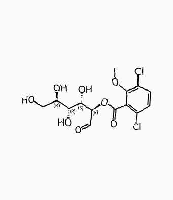 COc1c(Cl)ccc(Cl)c1C(=O)O[C@@H](C=O)[C@@H](O)[C@H](O)[C@H](O)CO